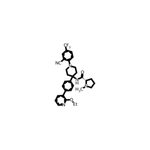 CCOc1ncccc1-c1ccc(C2(NC(=O)[C@@H]3CCCN3C)CCN(c3ccc(C(F)(F)F)cc3C#N)CC2)cc1